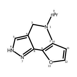 CCCN(C)Cc1c[nH]nc1-c1ccco1